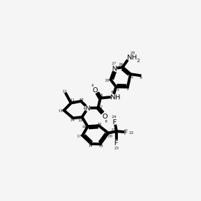 Cc1cc(NC(=O)C(=O)N2CC(C)CCC2c2cccc(C(F)(F)F)c2)cnc1N